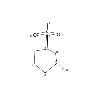 C[C@@H]1CCC[C@@H](S(C)(=O)=O)C1